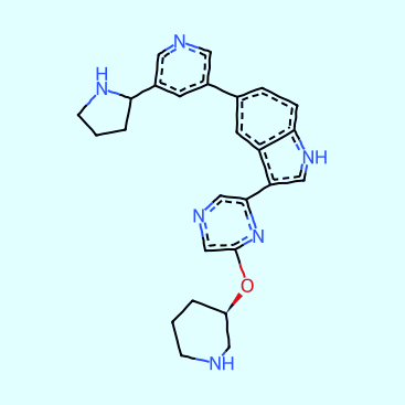 c1cc2[nH]cc(-c3cncc(O[C@@H]4CCCNC4)n3)c2cc1-c1cncc(C2CCCN2)c1